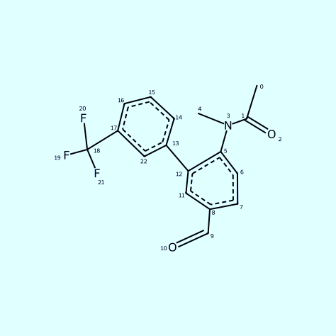 CC(=O)N(C)c1ccc(C=O)cc1-c1cccc(C(F)(F)F)c1